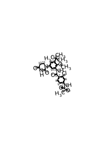 COc1c(NC(=O)c2ccc(NS(C)(=O)=O)cc2Cl)cc(N2CCC(=O)NC2=O)cc1C(C)(C)C